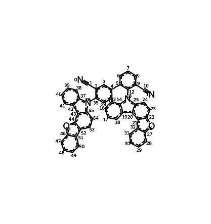 N#Cc1cc(-c2cccc(C#N)c2-n2c3ccccc3c3c4c(ccc32)oc2ccccc24)ccc1-n1c2ccccc2c2c3oc4ccccc4c3ccc21